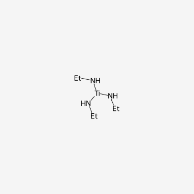 CC[NH][Ti]([NH]CC)[NH]CC